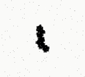 Cn1c2ccccc2c2ccc(-c3ccc4c5cc(-c6ccccc6)ccc5n(C)c4c3)cc21